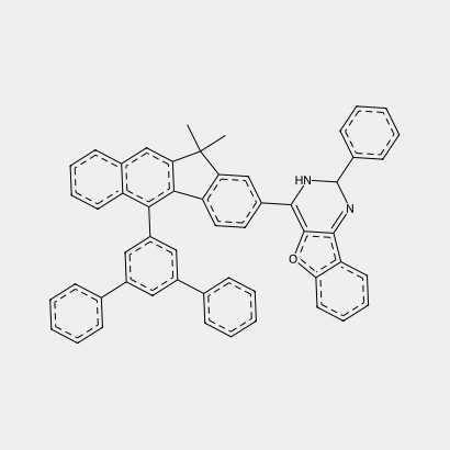 CC1(C)c2cc(C3=c4oc5ccccc5c4=NC(c4ccccc4)N3)ccc2-c2c1cc1ccccc1c2-c1cc(-c2ccccc2)cc(-c2ccccc2)c1